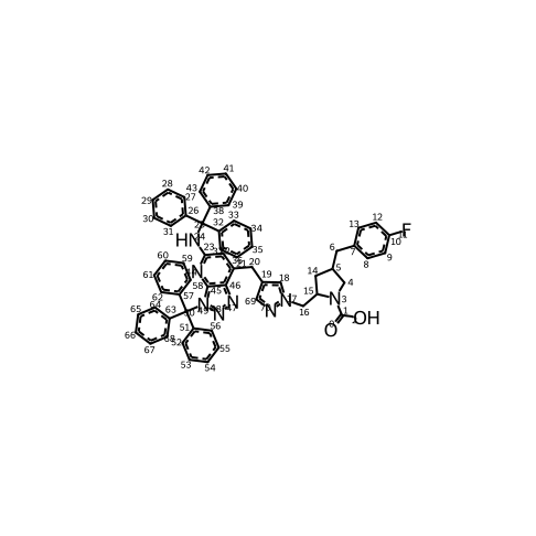 O=C(O)N1CC(Cc2ccc(F)cc2)CC1Cn1cc(Cc2cc(NC(c3ccccc3)(c3ccccc3)c3ccccc3)nc3c2nnn3C(c2ccccc2)(c2ccccc2)c2ccccc2)cn1